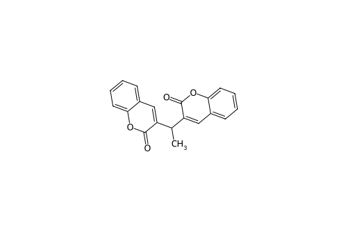 CC(c1cc2ccccc2oc1=O)c1cc2ccccc2oc1=O